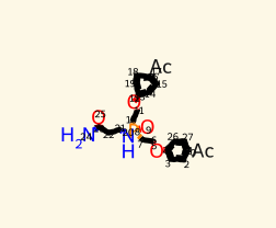 CC(=O)c1ccc(OCCP(=O)(CCOc2ccc(C(C)=O)cc2)NCCC(N)=O)cc1